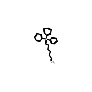 C=CCCCCC=P(c1ccccc1)(c1ccccc1)c1ccccc1